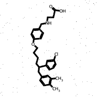 Cc1ccc(CC(CCCCOc2ccc(CNCCC(=O)O)cc2)c2cccc(Cl)c2)cc1C